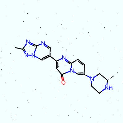 Cc1nc2ncc(-c3cc(=O)n4cc(N5CCN[C@@H](C)C5)ccc4n3)cn2n1